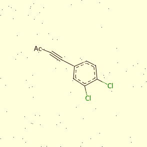 CC(=O)C#Cc1ccc(Cl)c(Cl)c1